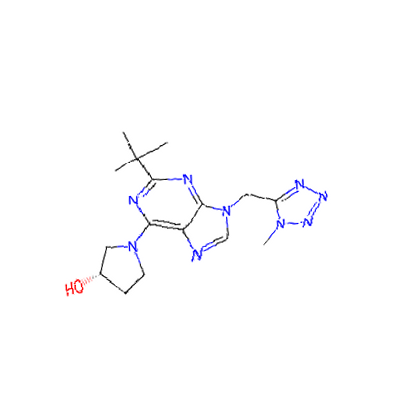 Cn1nnnc1Cn1cnc2c(N3CC[C@H](O)C3)nc(C(C)(C)C)nc21